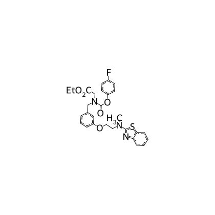 CCOC(=O)CN(Cc1cccc(OCCN(C)c2nc3ccccc3s2)c1)C(=O)Oc1ccc(F)cc1